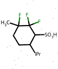 CC(C)C1CCC(C)(F)C(F)(F)C1S(=O)(=O)O